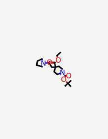 CCOC(=O)C1(CCN2CCCC2)CCN(C(=O)OC(C)(C)C)CC1